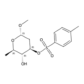 CO[C@@H]1C[C@@H](OS(=O)(=O)c2ccc(C)cc2)[C@H](O)[C@@H](C)O1